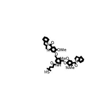 CNc1cc(OCc2cc(COc3cc4c(cc3OC)C(=O)N3c5ccccc5CC3C=N4)cc(NC(=O)CCC(C)(C)S)c2)c(OC)cc1C(=O)N1CCc2ccccc21